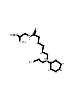 CCCCCCCCC(CCCCCC)COC(=O)CCCCCN(CCO)C1CCCCC1